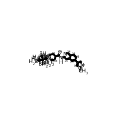 BC(B)(B)C(B)(C(B)(B)B)C(B)(B)N1CCC(C(=O)Nc2cc3cc(-c4cnn(C)c4)ccc3cn2)CC1